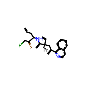 C=CCC(NC(=C)C(C=C)(CC(=C)c1nccc2ccccc12)C(C)C)C(=S)CF